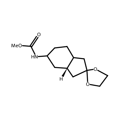 COC(=O)NC1CCC2CC3(C[C@@H]2C1)OCCO3